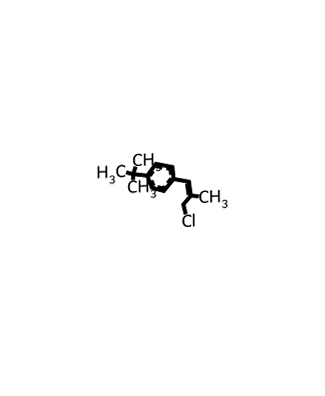 CC(=Cc1ccc(C(C)(C)C)cc1)CCl